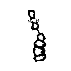 c1ccc2cc3cc4cc(-c5ccc6nc7ccccc7nc6c5)ccc4cc3cc2c1